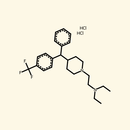 CCN(CC)CCN1CCC(C(c2ccccc2)c2ccc(C(F)(F)F)cc2)CC1.Cl.Cl